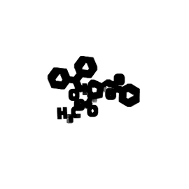 COC(=O)[C@@H]1C[C@H](CS(=O)(=O)c2ccccc2)CN1C(=O)C(c1ccccc1)c1ccccc1